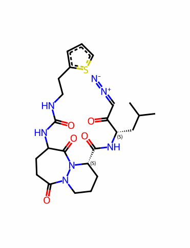 CC(C)C[C@H](NC(=O)[C@@H]1CCCN2C(=O)CCC(NC(=O)NCCc3cccs3)C(=O)N12)C(=O)C=[N+]=[N-]